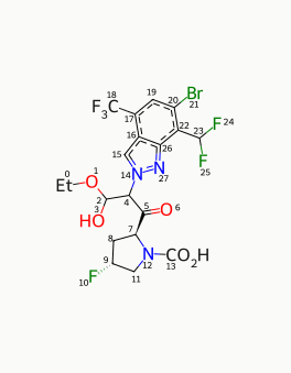 CCOC(O)C(C(=O)[C@@H]1C[C@@H](F)CN1C(=O)O)n1cc2c(C(F)(F)F)cc(Br)c(C(F)F)c2n1